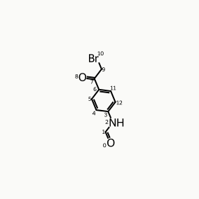 O=CNc1ccc(C(=O)CBr)cc1